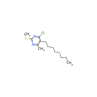 CCCCCCCCc1c(C)nc(SC)nc1Cl